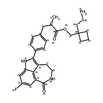 CN(Cc1ccc(-c2[nH]c3cc(F)cc4c3c2CCNC4=O)cc1)C(=O)OCC1(SSP)CCC1